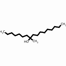 CCCCCCCCCC(C)(O)CCCCCCC